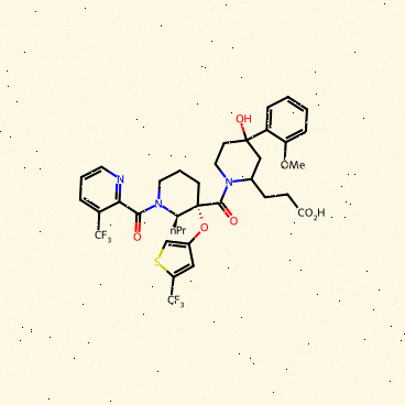 CCC[C@H]1N(C(=O)c2ncccc2C(F)(F)F)CCC[C@@]1(Oc1csc(C(F)(F)F)c1)C(=O)N1CCC(O)(c2ccccc2OC)CC1CCC(=O)O